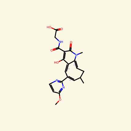 COc1ccnc(C2=C/C(C)C/C=c3/c(c(O)c(C(=O)NCC(=O)O)c(=O)n3C)=C\2)n1